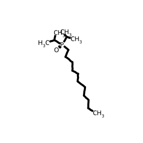 CCCCCCCCCCCP(=O)(C(C)C)C(C)C